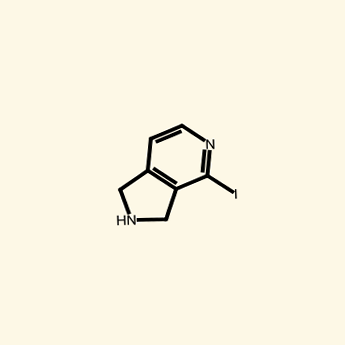 Ic1nccc2c1CNC2